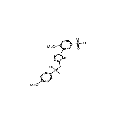 CC[N+](C)(Cc1ccc(-c2cc(S(=O)(=O)CC)ccc2OC)[nH]1)c1ccc(OC)cc1